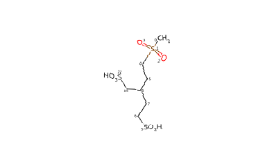 CS(=O)(=O)CCC(CCS(=O)(=O)O)CS(=O)(=O)O